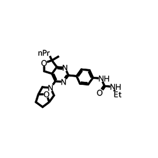 CCCC1(C)OCc2c(N3CC4CCC(C3)O4)nc(-c3ccc(NC(=O)NCC)cc3)nc21